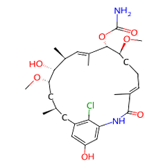 CO[C@H]1C[C@H](C)Cc2cc(O)cc(c2Cl)NC(=O)/C(C)=C/CC[C@H](OC)[C@@H](OC(N)=O)/C(C)=C/[C@H](C)[C@H]1O